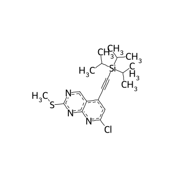 CSc1ncc2c(C#C[Si](C(C)C)(C(C)C)C(C)C)cc(Cl)nc2n1